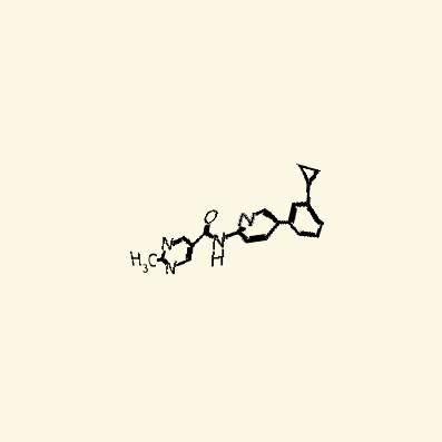 Cc1ncc(C(=O)Nc2ccc(-c3cccc(C4CC4)c3)cn2)cn1